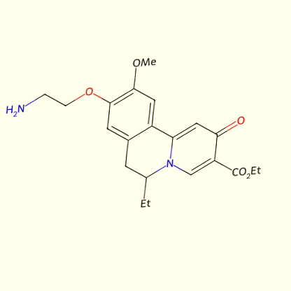 CCOC(=O)c1cn2c(cc1=O)-c1cc(OC)c(OCCN)cc1CC2CC